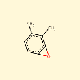 Cc1ccc2c(c1C)O2